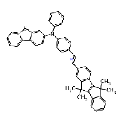 CC1(C)C2=C(c3ccccc31)C(C)(C)c1cc(/C=C/c3ccc(N(c4ccccc4)c4ccc5c(c4)sc4ccccc45)cc3)ccc12